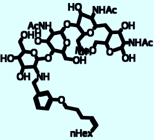 CCCCCC/C=C\CCCOc1cccc(CNC2C(OC3C(CO)OC(OC4C(CO)OC(CC5C(COC)OC(O)C(NC(C)=O)C5O)C(NC(C)=O)C4O)C(NC(C)=O)C3O)OC(CO)C(O)C2O)c1